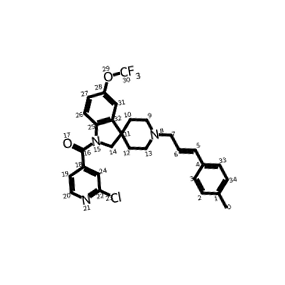 Cc1ccc(/C=C/CN2CCC3(CC2)CN(C(=O)c2ccnc(Cl)c2)c2ccc(OC(F)(F)F)cc23)cc1